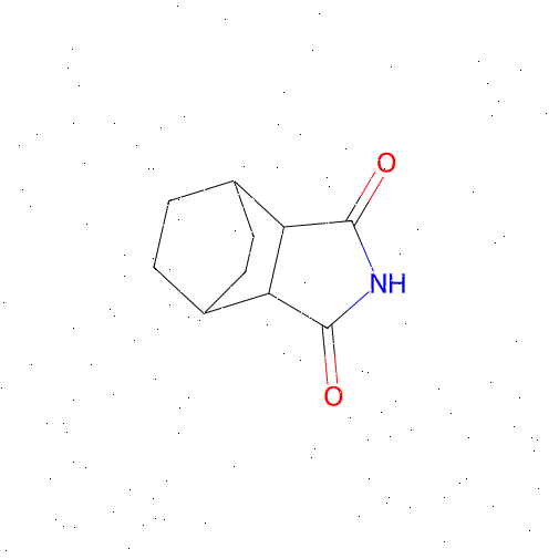 O=C1NC(=O)C2C3CCC(CC3)C12